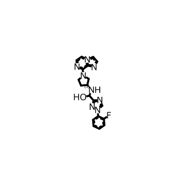 OC(N[C@H]1CCN(c2nccn3ccnc23)C1)c1ncn(-c2ccccc2F)n1